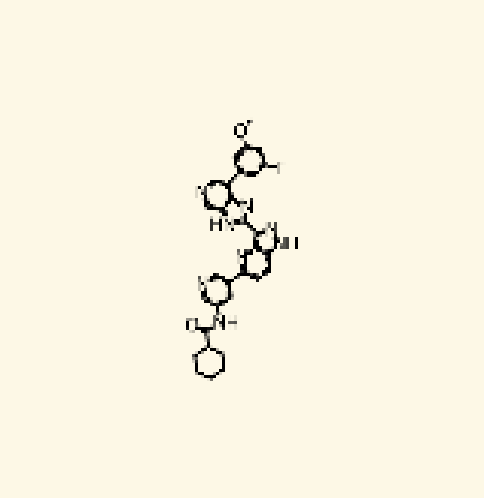 COc1cc(F)cc(-c2cncc3[nH]c(-c4n[nH]c5ccc(-c6cncc(NC(=O)C7CCCCC7)c6)nc45)nc23)c1